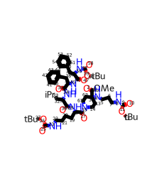 COC(=O)C1(NCCCNC(=O)OC(C)(C)C)CCN(C(=O)C(CCCCNC(=O)OC(C)(C)C)NC(=O)C(CC(C)C)NC(=O)C(Cc2ccccc2)NC(=O)C(Cc2ccccc2)NC(=O)OC(C)(C)C)CC1